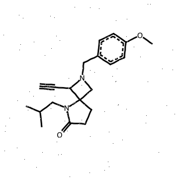 C#CC1N(Cc2ccc(OC)cc2)CC12CCC(=O)N2CC(C)C